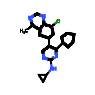 Cc1ncnc2c(Cl)cc(-c3cnc(NC4CC4)nc3-c3ccccc3)cc12